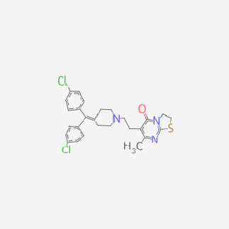 Cc1nc2n(c(=O)c1CCN1CCC(=C(c3ccc(Cl)cc3)c3ccc(Cl)cc3)CC1)CCS2